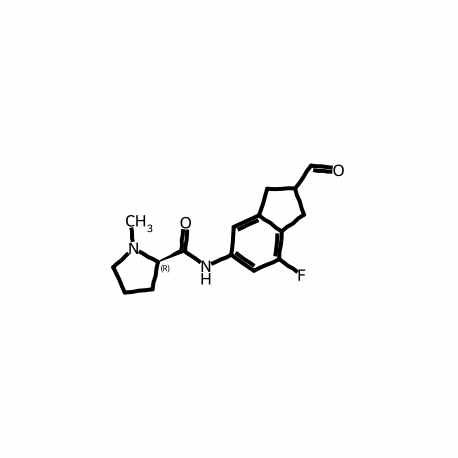 CN1CCC[C@@H]1C(=O)Nc1cc(F)c2c(c1)CC(C=O)C2